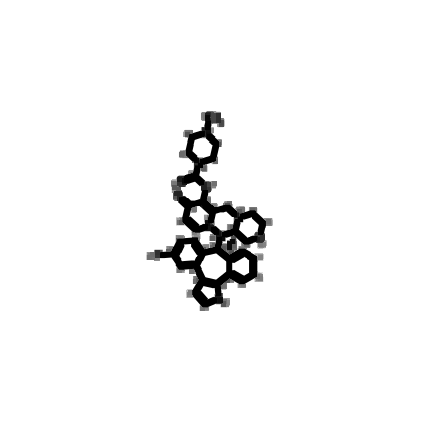 CN1CCN(C(=O)Oc2c3n(ccc2=O)N(C2c4ccc(F)cc4-c4ccsc4-c4ccccc42)[C@@H]2COCCN2C3)CC1